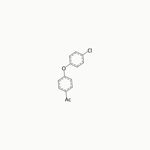 [CH2]C(=O)c1ccc(Oc2ccc(Cl)cc2)cc1